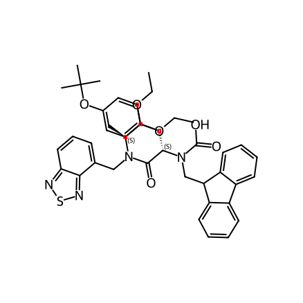 CCOC(OCC)[C@H](C)N(Cc1cccc2nsnc12)C(=O)[C@H](Cc1ccc(OC(C)(C)C)cc1)N(CC1c2ccccc2-c2ccccc21)C(=O)O